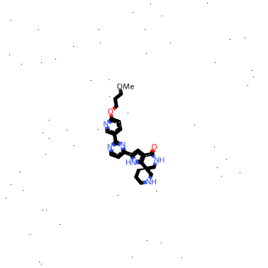 COCCCOc1ccc(-c2nccc(-c3cc4c([nH]3)[C@]3(CCCNC3)CNC4=O)n2)cn1